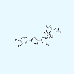 CC(CNS(=O)(=O)C(C)C)c1ccc(-c2ccc(Cl)c(Cl)c2)cc1